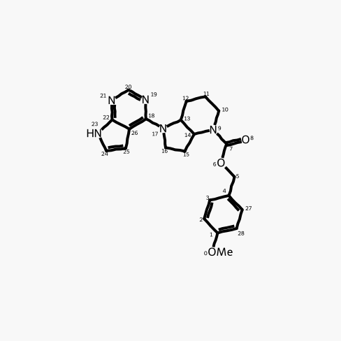 COc1ccc(COC(=O)N2CCCC3C2CCN3c2ncnc3[nH]ccc23)cc1